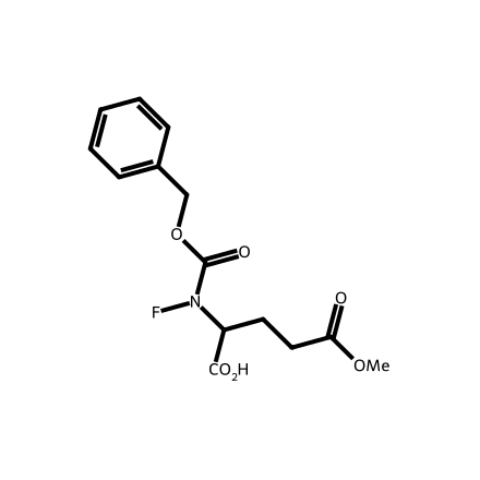 COC(=O)CCC(C(=O)O)N(F)C(=O)OCc1ccccc1